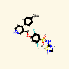 COc1ccc([C@H]2CCNC[C@@H]2COc2cc(F)c(S(=O)(=O)Nc3ncns3)cc2F)cc1